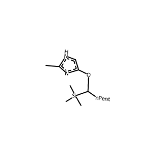 CCCCCC(Oc1c[nH]c(C)n1)[Si](C)(C)C